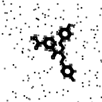 Cc1ccc(CCN(CCc2ccc(C)cc2)C(=O)c2cc(C(=O)O)ccn2)cc1